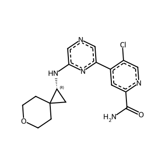 NC(=O)c1cc(-c2cncc(N[C@@H]3CC34CCOCC4)n2)c(Cl)cn1